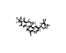 Cc1c([C@@H](C)Nc2nnc(C)c3ncc(C4CCNC(=O)C4)cc23)cccc1C(F)(F)F